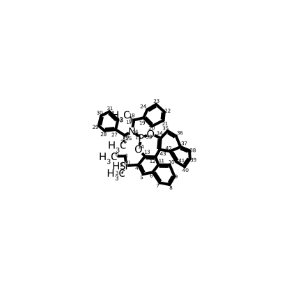 CC[Si@@H](C)c1cc2ccccc2c2c1op(N([C@H](C)c1ccccc1)[C@H](C)c1ccccc1)oc1ccc3ccccc3c12